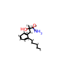 CCCCCc1ccccc1CC(C)(O)C(N)=O